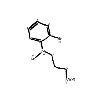 CCCCCCCCCCCCN(C(C)=O)c1ccccc1Br